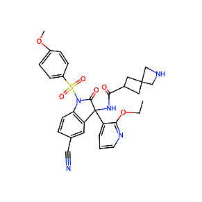 CCOc1ncccc1C1(NC(=O)C2CC3(CNC3)C2)C(=O)N(S(=O)(=O)c2ccc(OC)cc2)c2ccc(C#N)cc21